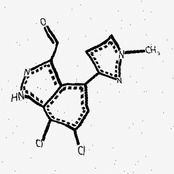 Cn1ccc(-c2cc(Cl)c(Cl)c3[nH]nc(C=O)c23)n1